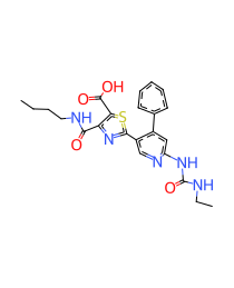 CCCCNC(=O)c1nc(-c2cnc(NC(=O)NCC)cc2-c2ccccc2)sc1C(=O)O